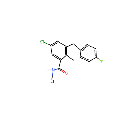 CCN(C)C(=O)c1cc(Cl)cc(Cc2ccc(F)cc2)c1C